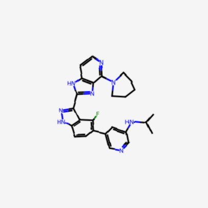 CC(C)Nc1cncc(-c2ccc3[nH]nc(-c4nc5c(N6CCCCC6)nccc5[nH]4)c3c2F)c1